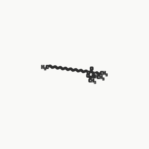 CCCCCCCCCCCCCCCCOC(=O)[C@H](CC(C)C)NC(C)=O